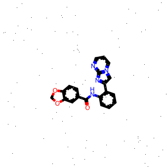 O=C(Nc1ccccc1-c1cn2cccnc2n1)c1ccc2c(c1)OCO2